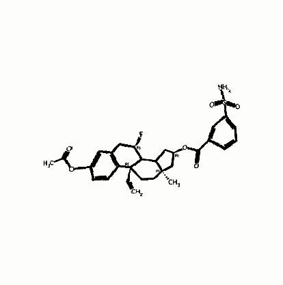 C=C[C@]12CC[C@]3(C)C[C@H](OC(=O)c4cccc(S(N)(=O)=O)c4)CC3C1[C@H](F)Cc1cc(OC(C)=O)ccc12